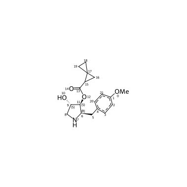 COc1ccc(C[C@H]2NC[C@H](O)[C@H]2OC(=O)C2CC23CC3)cc1